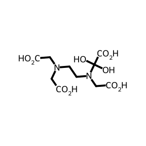 O=C(O)CN(CCN(CC(=O)O)C(O)(O)C(=O)O)CC(=O)O